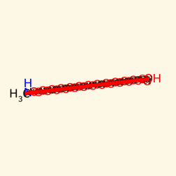 CNCCCOCCOCCOCCOCCOCCOCCOCCOCCOCCOCCOCCOCCOCCOCCOCCOCCOCCOCCOCCOCCOCCOCCOCCOCCOCCC(=O)O